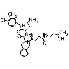 Cc1cc(NC(=O)[C@H](CCN)NC(=O)[C@@H]2Cc3ccccc3CN2C(=O)CCC(=O)NCCC(C)C)ccc1Cl